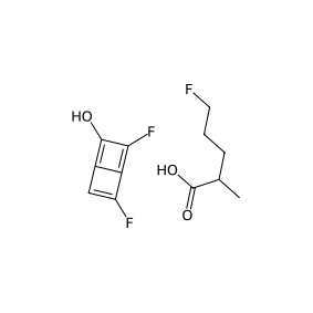 CC(CCCF)C(=O)O.Oc1c2cc(F)c-2c1F